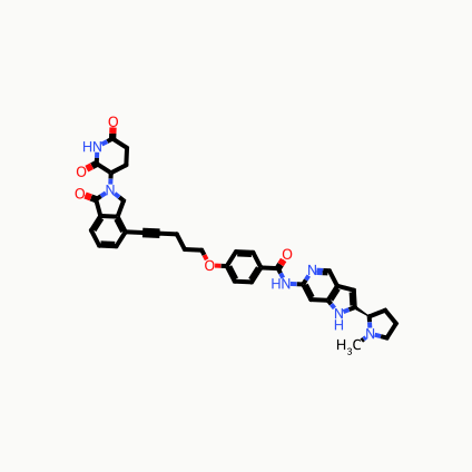 CN1CCC[C@@H]1c1cc2cnc(NC(=O)c3ccc(OCCCC#Cc4cccc5c4CN(C4CCC(=O)NC4=O)C5=O)cc3)cc2[nH]1